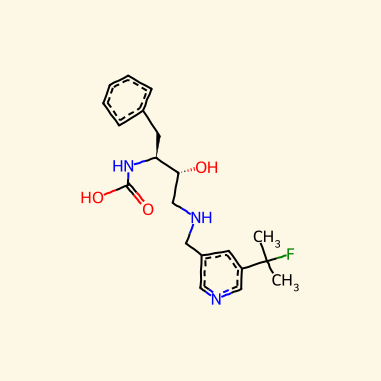 CC(C)(F)c1cncc(CNC[C@@H](O)[C@H](Cc2ccccc2)NC(=O)O)c1